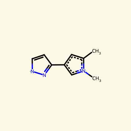 Cc1cc(C2=N[N]C=C2)cn1C